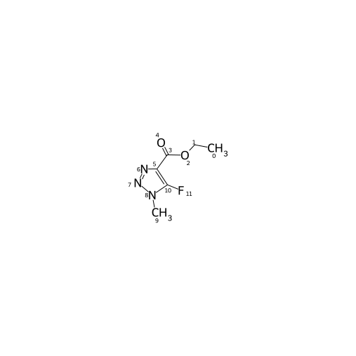 CCOC(=O)c1nnn(C)c1F